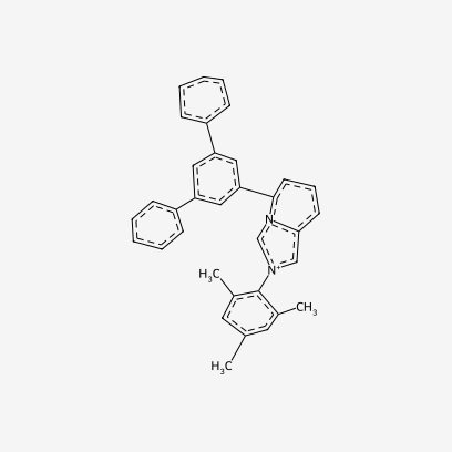 Cc1cc(C)c(-[n+]2cc3cccc(-c4cc(-c5ccccc5)cc(-c5ccccc5)c4)n3c2)c(C)c1